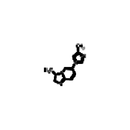 Cc1cn(C2=CN3C(=NCC3C)C=C2)cn1